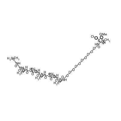 COc1ccc2c(c1)C(c1ccc(Cl)cc1)=N[C@@H](CNC(=O)CCOCCOCCOCCOCCOCCOCCOCCOCCOCCOCCC(=O)Nc1cn(C)c(C(=O)Nc3cc(C(=O)NCCC(=O)Nc4cn(C)c(C(=O)Nc5cc(C(=O)NCCC(=O)Nc6cn(C)c(C(=O)NCCC(=O)NCCCN(C)C)n6)n(C)c5)n4)n(C)c3)n1)c1nnc(C)n1-2